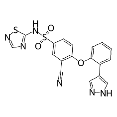 N#Cc1cc(S(=O)(=O)Nc2ncns2)ccc1Oc1ccccc1-c1cn[nH]c1